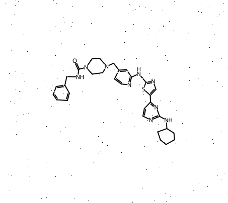 O=C(NCc1ccccc1)N1CCN(Cc2ccnc(Nc3ncc(-c4ccnc(NC5CCCCC5)n4)s3)c2)CC1